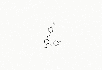 O=C(O)c1ccc(/C=C/c2ccc(OC(F)(F)F)cc2)cc1Nc1ccc(F)cc1